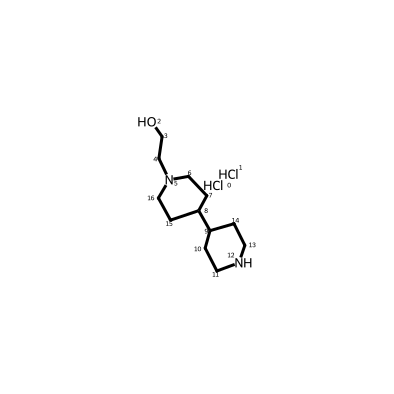 Cl.Cl.OCCN1CCC(C2CCNCC2)CC1